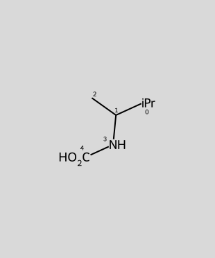 CC(C)C(C)NC(=O)O